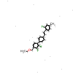 CCOCc1ccc(-c2ccc(/C=C/c3ccc(C)cc3F)cc2)c(F)c1F